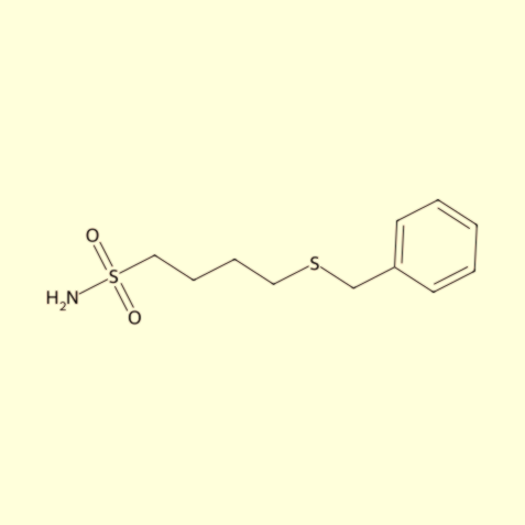 NS(=O)(=O)CCCCSCc1ccccc1